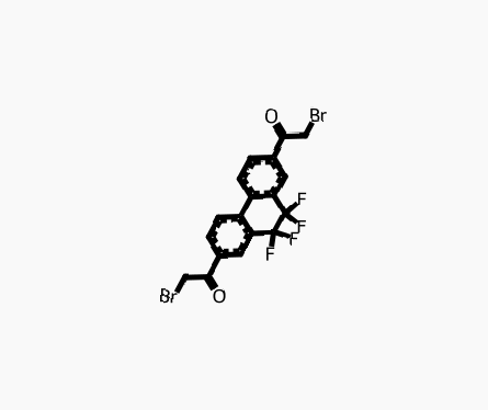 O=C(CBr)c1ccc2c(c1)C(F)(F)C(F)(F)c1cc(C(=O)CBr)ccc1-2